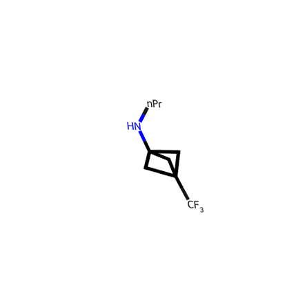 CCCNC12CC(C(F)(F)F)(C1)C2